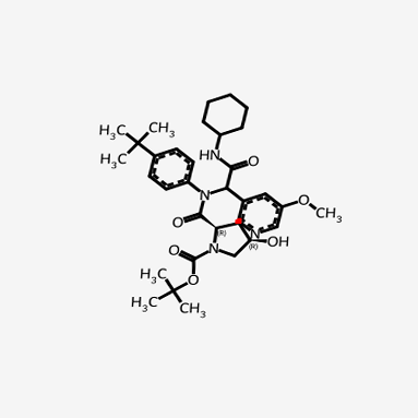 COc1cncc(C(C(=O)NC2CCCCC2)N(C(=O)[C@H]2C[C@@H](O)CN2C(=O)OC(C)(C)C)c2ccc(C(C)(C)C)cc2)c1